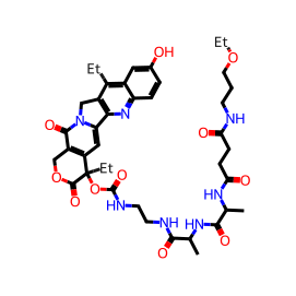 CCOCCCNC(=O)CCC(=O)NC(C)C(=O)NC(C)C(=O)NCCNC(=O)OC1(CC)C(=O)OCc2c1cc1n(c2=O)Cc2c-1nc1ccc(O)cc1c2CC